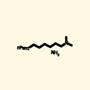 CCCCCCCCCCCN(C)C.N